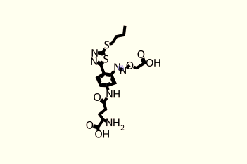 CCCCSc1nnc(-c2ccc(NC(=O)CCC(N)C(=O)O)cc2/N=N/OCC(=O)O)s1